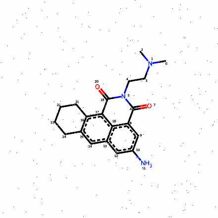 CN(C)CCN1C(=O)c2cc(N)cc3cc4c(c(c23)C1=O)CCCC4